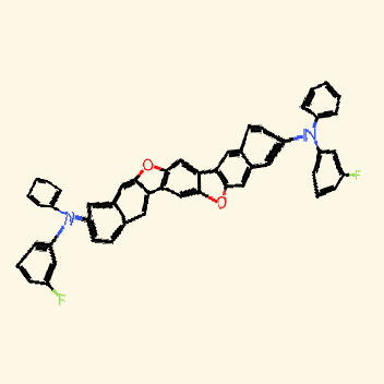 Fc1cccc(N(c2ccccc2)c2ccc3cc4c(cc3c2)oc2cc3c(cc24)oc2cc4cc(N(c5ccccc5)c5cccc(F)c5)ccc4cc23)c1